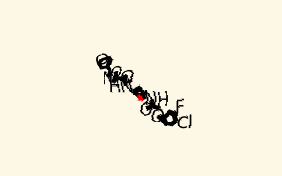 O=C(COc1ccc(Cl)c(F)c1)NC12CC(NC(=O)c3cnc(C4=CCOCC4)o3)(C1)C2